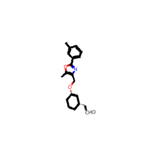 Cc1cccc(-c2nc(CO[C@H]3CCC[C@@H](CC=O)C3)c(C)o2)c1